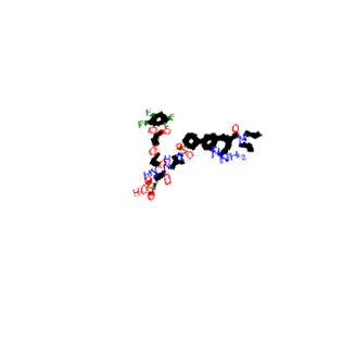 CCCN(CCC)C(=O)C1=Cc2ccc(-c3cccc(S(=O)(=O)N4CC(CNC(=O)[C@H](CS(=O)(=O)O)NC(=O)CCOCCC(=O)Oc5c(F)c(F)cc(F)c5F)C4)c3)cc2N=C(N)C1